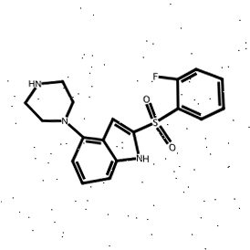 O=S(=O)(c1cc2c(N3CCNCC3)cccc2[nH]1)c1ccccc1F